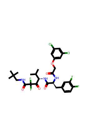 CC(C)[C@H](NC(=O)[C@H](Cc1ccc(F)c(F)c1)NC(=O)COc1cc(Cl)cc(Cl)c1)C(=O)C(F)(F)C(=O)NCC(C)(C)C